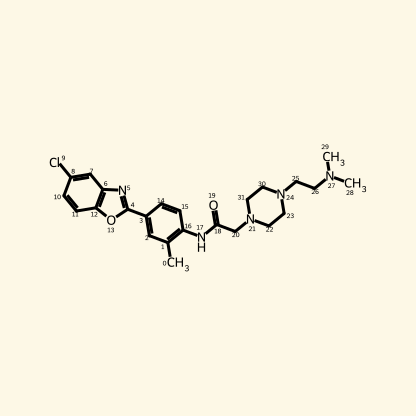 Cc1cc(-c2nc3cc(Cl)ccc3o2)ccc1NC(=O)CN1CCN(CCN(C)C)CC1